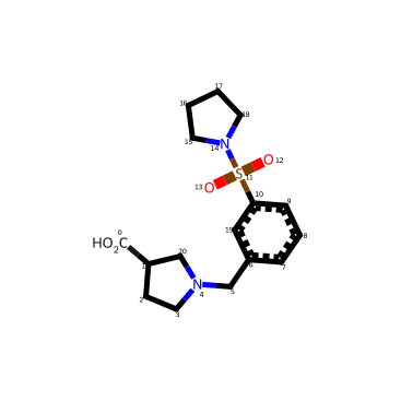 O=C(O)C1CCN(Cc2cccc(S(=O)(=O)N3CCCC3)c2)C1